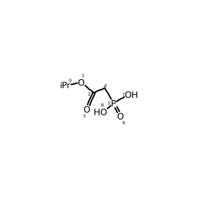 CC(C)OC(=O)CP(=O)(O)O